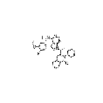 CC(C)Oc1ccc(-c2nn(C(C)c3cc4ccccc4c(=O)n3-c3ccccc3)c3ncnc(N)c23)cc1F